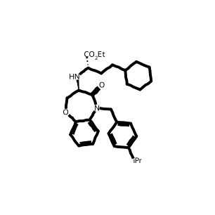 CCOC(=O)[C@H](CCC1CCCCC1)N[C@@H]1COc2ccccc2N(Cc2ccc(C(C)C)cc2)C1=O